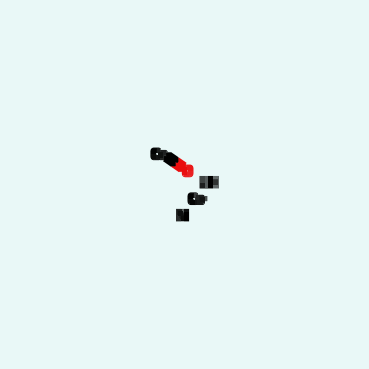 [Co].[LiH].[Ni].[O]=[Co]